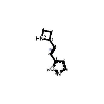 C(=C\C1CCN1)/c1ccno1